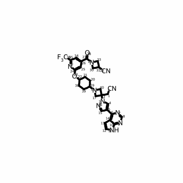 N#CCC1(n2cc(-c3ncnc4[nH]ccc34)cn2)CN(C2CCC(Oc3cc(C(=O)N4CC(C#N)C4)cc(C(F)(F)F)n3)CC2)C1